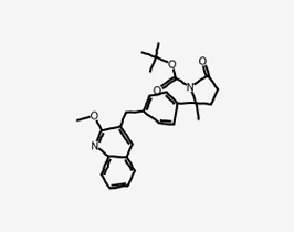 COc1nc2ccccc2cc1Cc1ccc(C2(C)CCC(=O)N2C(=O)OC(C)(C)C)cc1